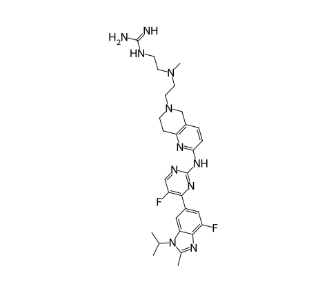 Cc1nc2c(F)cc(-c3nc(Nc4ccc5c(n4)CCN(CCN(C)CCNC(=N)N)C5)ncc3F)cc2n1C(C)C